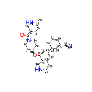 CC1=CC=C(C(=O)N2CCC(Oc3cc(C4C=C(C#N)C=CC4)cc4c3CNC=C4)CC2)CN1